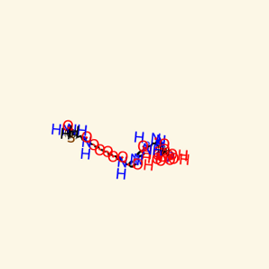 Nc1nc(=O)n([C@@H]2O[C@H](COP(=O)(O)O)C(OP(=O)(O)O)C2O)cc1CCCNC(=O)c1ccc(/N=N/c2cc(CCNC(=O)CCOCCOCCOCCOCCNC(=O)CCCC[C@@H]3SC[C@@H]4NC(=O)N[C@@H]43)ccc2O)cc1